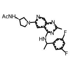 CC(=O)N[C@@H]1CCN(c2cc3c(NC(C)c4cc(F)cc(F)c4)nc(C)nc3cn2)C1